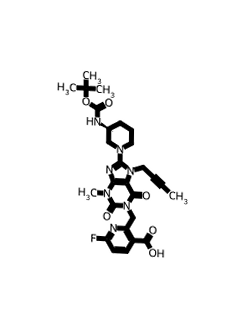 CC#CCn1c(N2CCC[C@H](NC(=O)OC(C)(C)C)C2)nc2c1c(=O)n(Cc1nc(F)ccc1C(=O)O)c(=O)n2C